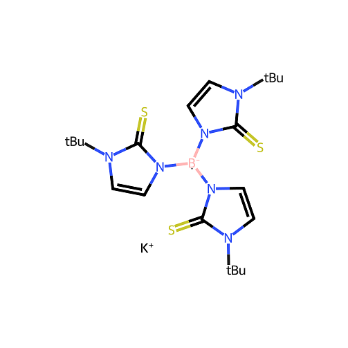 CC(C)(C)n1ccn([B-](n2ccn(C(C)(C)C)c2=S)n2ccn(C(C)(C)C)c2=S)c1=S.[K+]